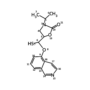 CC(C)N1CC(C(S)Oc2cccc3cnccc23)OC1=O